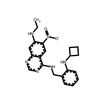 CCNc1cc2ncnc(NCc3ccccc3NC3CCC3)c2cc1[N+](=O)[O-]